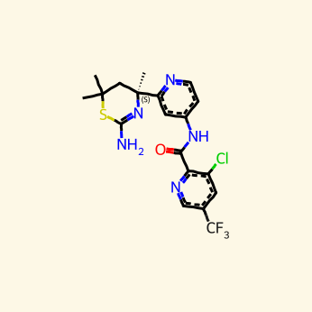 CC1(C)C[C@@](C)(c2cc(NC(=O)c3ncc(C(F)(F)F)cc3Cl)ccn2)N=C(N)S1